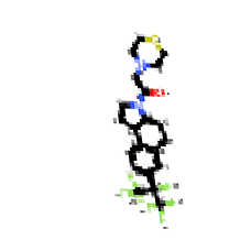 O=C(CN1CCSCC1)N1CCC2c3ccc(C(F)(C(F)(F)F)C(F)(F)F)cc3CCC21